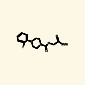 CNC(=O)COC(=O)N1CCN(c2ccccc2F)CC1